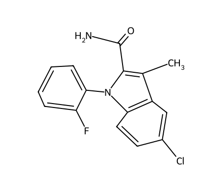 Cc1c(C(N)=O)n(-c2ccccc2F)c2ccc(Cl)cc12